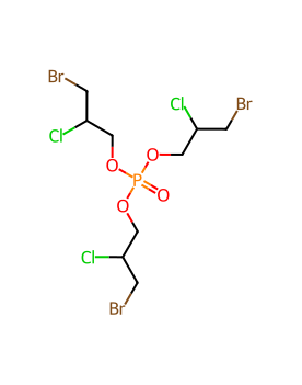 O=P(OCC(Cl)CBr)(OCC(Cl)CBr)OCC(Cl)CBr